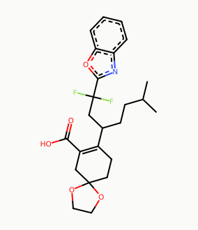 CC(C)CCC(CC(F)(F)c1nc2ccccc2o1)C1=C(C(=O)O)CC2(CC1)OCCO2